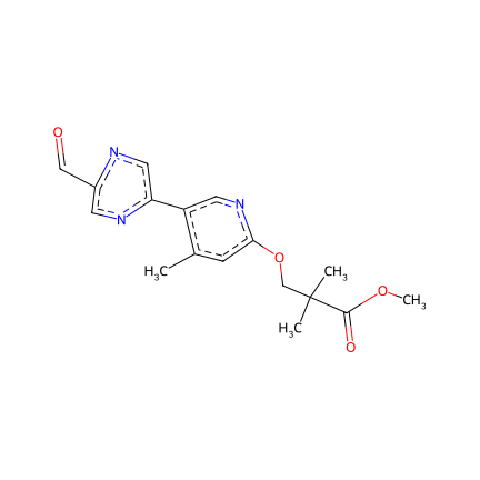 COC(=O)C(C)(C)COc1cc(C)c(-c2cnc(C=O)cn2)cn1